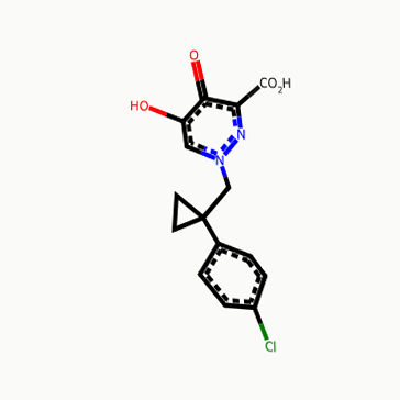 O=C(O)c1nn(CC2(c3ccc(Cl)cc3)CC2)cc(O)c1=O